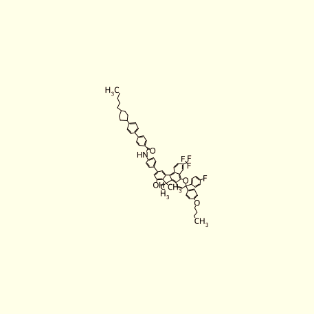 CCCCCC1CCC(c2ccc(-c3ccc(C(=O)Nc4ccc(-c5cc(O)c6c(c5)-c5c(c7c(c8cc(C(F)(F)F)ccc58)OC(c5ccc(F)cc5)(c5ccc(OCCCC)cc5)C=C7)C6(C)C)cc4)cc3)cc2)CC1